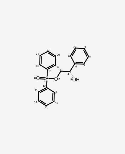 O=P(OC[C@@H](O)c1ccccc1)(c1ccccc1)c1ccccc1